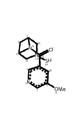 COc1cncc(C(=O)N2C3CC2CN(S)C3)c1